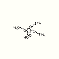 CCCCOCC1OC(CC(=O)O)C(OCCCC)CC1OCCCC